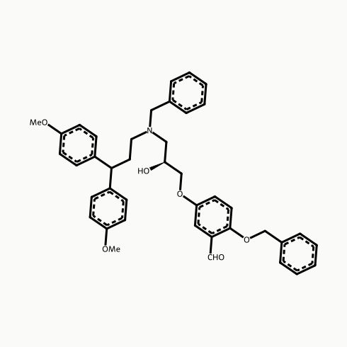 COc1ccc(C(CCN(Cc2ccccc2)C[C@H](O)COc2ccc(OCc3ccccc3)c(C=O)c2)c2ccc(OC)cc2)cc1